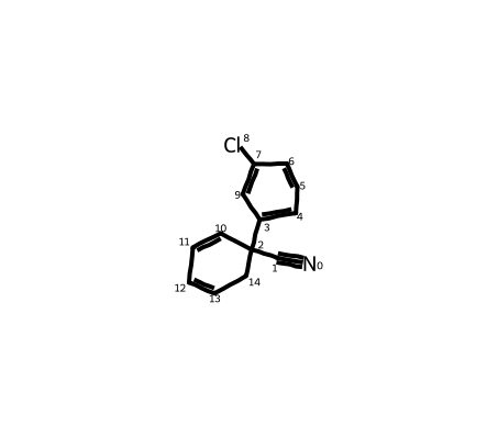 N#CC1(c2cccc(Cl)c2)C=CC=CC1